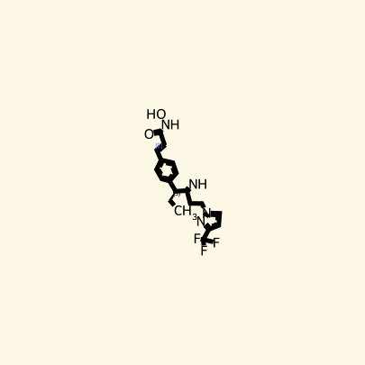 CC[C@H](C(=N)CCn1ccc(C(F)(F)F)n1)c1ccc(/C=C/C(=O)NO)cc1